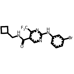 O=C(NCC1CCC1)c1cnc(Nc2cccc(Br)c2)nc1C(F)(F)F